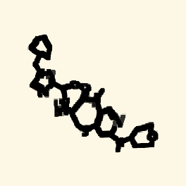 CN1C(=O)[C@@H](NC(=O)c2ncn(Cc3ccccc3)n2)CSc2cc(N(C)C3CCOCC3)ncc21